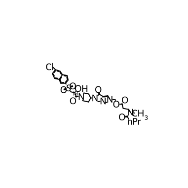 CCCC(=O)N(C)CCC(=O)OCN1C=C2C(=O)N(C3CCN(C(=O)[C@H](O)CS(=O)(=O)c4ccc5cc(Cl)ccc5c4)CC3)CN2C1